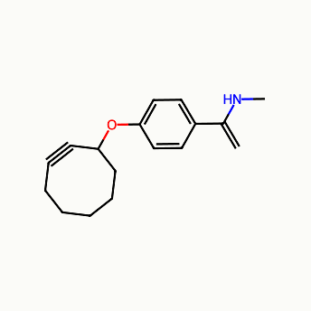 C=C(NC)c1ccc(OC2C#CCCCCC2)cc1